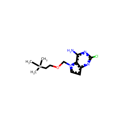 C[Si](C)(C)CCOCn1ccc2nc(Cl)nc(N)c21